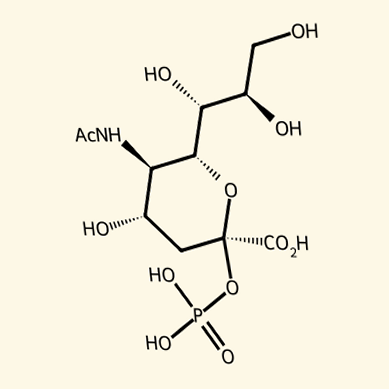 CC(=O)N[C@H]1[C@H]([C@H](O)[C@H](O)CO)O[C@](OP(=O)(O)O)(C(=O)O)C[C@@H]1O